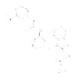 O=C(Nc1cccc(Oc2c(NC(=O)C3CC3)nc3cccnn23)c1)Nc1cccc(C(F)(F)F)c1